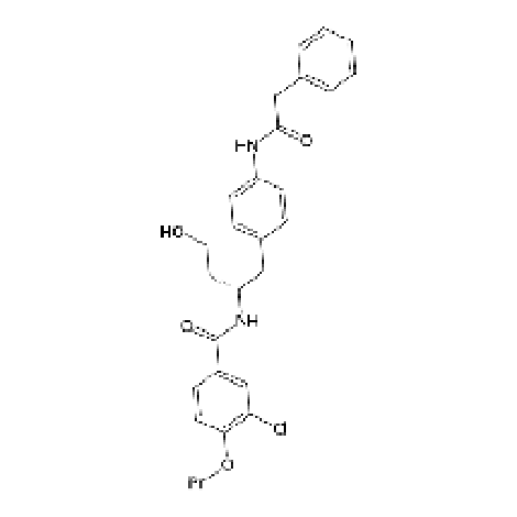 CC(C)Oc1ccc(C(=O)N[C@H](CCO)Cc2ccc(NC(=O)Cc3ccccc3)cc2)cc1Cl